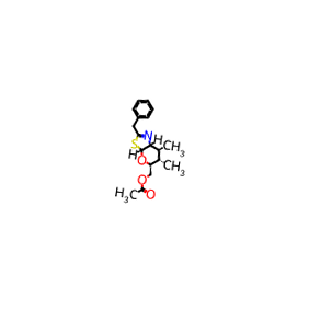 CC(=O)OC[C@H]1O[C@@H]2SC(Cc3ccccc3)=N[C@@H]2[C@@H](C)[C@@H]1C